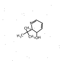 CC(C)(C)C1N=CC=CC1O